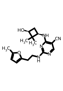 Cc1ccc(CCNc2ncc(C#N)c(N[C@@H]3C[C@H](O)C3(C)C)n2)o1